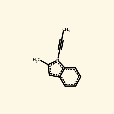 CC#Cn1c(C)cc2ccccc21